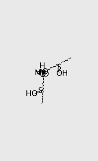 CCCCCCCCCC(CCCCCCCCOP(=O)(NCCN(C)C)OCCCCCCCCCC(CCCCCCCC)SCCCO)SCCCO